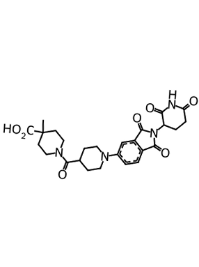 CC1(C(=O)O)CCN(C(=O)C2CCN(c3ccc4c(c3)C(=O)N(C3CCC(=O)NC3=O)C4=O)CC2)CC1